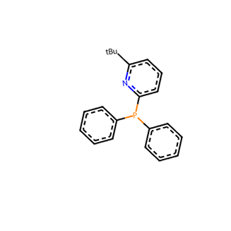 CC(C)(C)c1cccc(P(c2ccccc2)c2ccccc2)n1